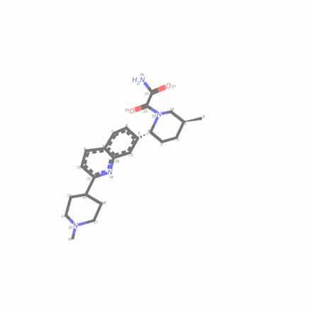 C[C@H]1CC[C@H](c2ccc3ccc(C4CCN(C)CC4)nc3c2)N(C(=O)C(N)=O)C1